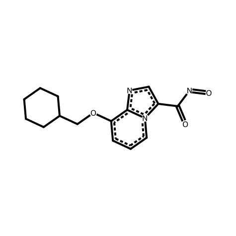 O=NC(=O)c1cnc2c(OCC3CCCCC3)cccn12